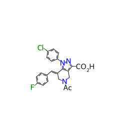 CC(=O)N1C/C(=C\c2ccc(F)cc2)c2c(c(C(=O)O)nn2-c2ccc(Cl)cc2)C1